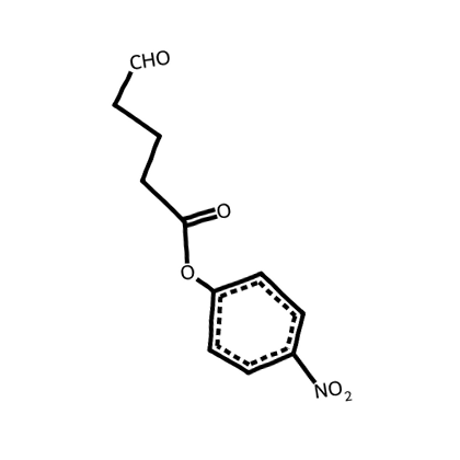 O=CCCCC(=O)Oc1ccc([N+](=O)[O-])cc1